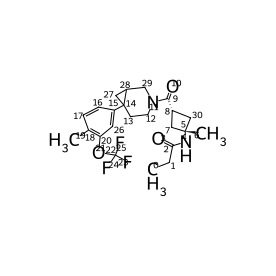 CCC(=O)N[C@]1(C)C[C@H](C(=O)N2CCC3(c4ccc(C)c(OC(F)(F)F)c4)CC3C2)C1